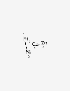 [Cu].[PH2][Ni].[Zn]